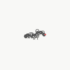 CC(C)C[C@H](NC(=O)c1ccc2ccccc2n1)C(=O)NCC(=O)CNC(=O)c1ccc(Oc2ccccc2)cc1